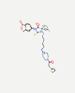 CC1(C)C(=O)N(c2ccc3c(c2)COC3=O)C(=S)N1CCCCCCN1CCN(C(=O)Cc2cccs2)CC1